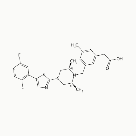 Cc1cc(CC(=O)O)cc(CN2[C@H](C)CN(c3ncc(-c4cc(F)ccc4F)s3)C[C@@H]2C)c1